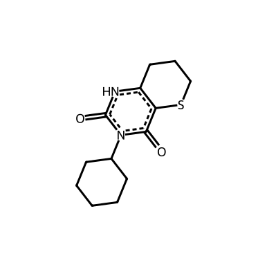 O=c1[nH]c2c(c(=O)n1C1CCCCC1)SCCC2